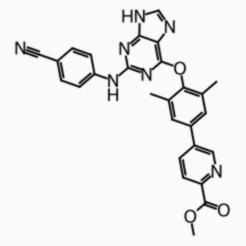 COC(=O)c1ccc(-c2cc(C)c(Oc3nc(Nc4ccc(C#N)cc4)nc4[nH]cnc34)c(C)c2)cn1